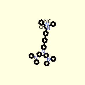 N#Cc1ccccc1-c1cc(-c2ccc(-c3ccc(-c4ccc(-n5c6ccc(N(c7ccccc7)c7ccccc7)cc6c6cc(N(c7ccccc7)c7ccccc7)ccc65)cc4)cc3)cc2)nc(-c2ccccc2C#N)n1